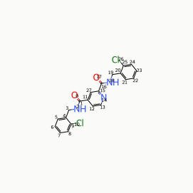 O=C(NCc1ccccc1Cl)c1ccnc(C(=O)NCc2ccccc2Cl)c1